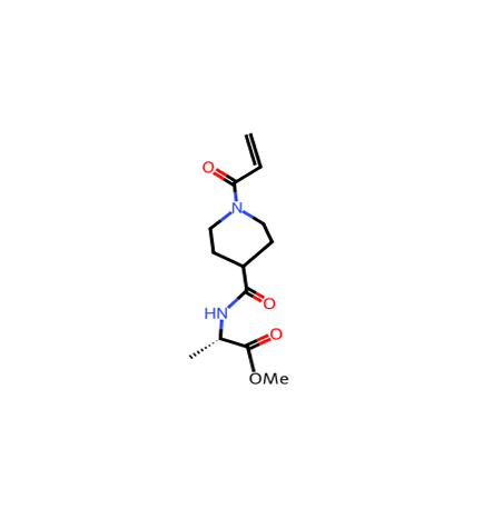 C=CC(=O)N1CCC(C(=O)N[C@@H](C)C(=O)OC)CC1